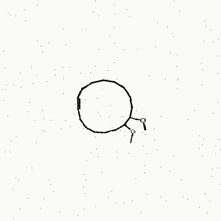 COC1CCCCCC=CCCCCCCCC1OC